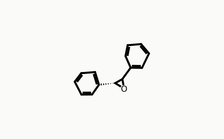 c1ccc(C2O[C@@H]2c2ccccc2)cc1